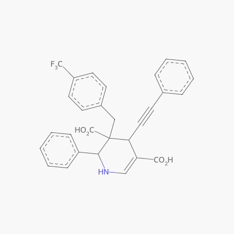 O=C(O)C1=CNC(c2ccccc2)C(Cc2ccc(C(F)(F)F)cc2)(C(=O)O)C1C#Cc1ccccc1